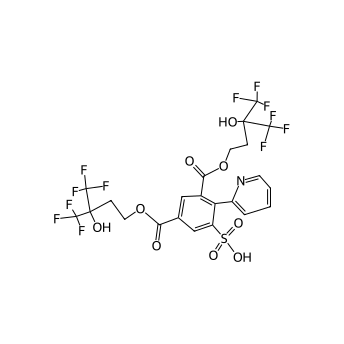 O=C(OCCC(O)(C(F)(F)F)C(F)(F)F)c1cc(C(=O)OCCC(O)(C(F)(F)F)C(F)(F)F)c(-c2ccccn2)c(S(=O)(=O)O)c1